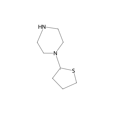 C1CS[C](N2CCNCC2)C1